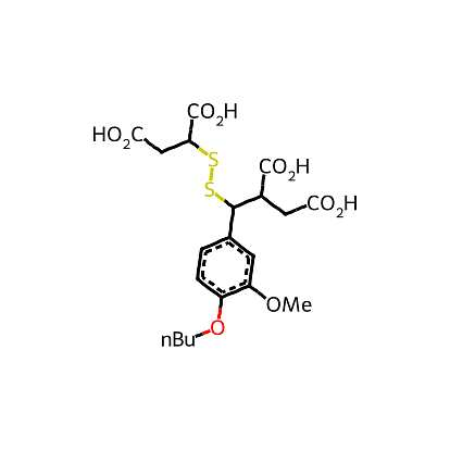 CCCCOc1ccc(C(SSC(CC(=O)O)C(=O)O)C(CC(=O)O)C(=O)O)cc1OC